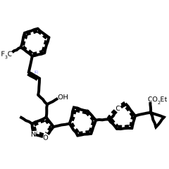 CCOC(=O)C1(c2ccc(-c3ccc(-c4onc(C)c4C(O)C/C=C/c4ccccc4C(F)(F)F)cc3)cc2)CC1